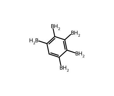 Bc1cc(B)c(B)c(B)c1B